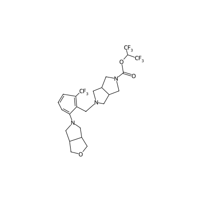 O=C(OC(C(F)(F)F)C(F)(F)F)N1CC2CN(Cc3c(N4CC5COCC5C4)cccc3C(F)(F)F)CC2C1